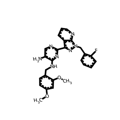 COc1ccc(CNc2nc(-c3nn(Cc4ccccc4F)c4ncccc34)ncc2N)c(OC)c1